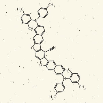 Cc1ccc(N(c2ccc3cc4c(cc3c2)oc2cc3oc5cc6cc(N(c7ccc(C)cc7)c7cc(C)ccc7C)ccc6cc5c3c(C#N)c24)c2cc(C)ccc2C)cc1